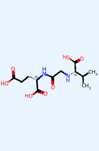 CC(C)[C@H](NCC(=O)N[C@@H](CCC(=O)O)C(=O)O)C(=O)O